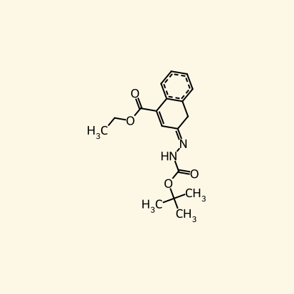 CCOC(=O)C1=CC(=NNC(=O)OC(C)(C)C)Cc2ccccc21